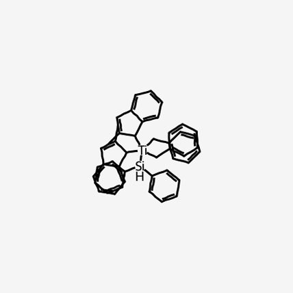 CC1=Cc2ccccc2[CH]1[Ti]([CH2]c1ccccc1)([CH2]c1ccccc1)([CH]1C(C)=Cc2ccccc21)[SiH](c1ccccc1)c1ccccc1